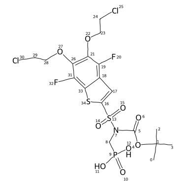 CC(C)(C)OC(=O)N(CP(=O)(O)O)S(=O)(=O)c1cc2c(F)c(OCCCl)c(OCCCl)c(F)c2s1